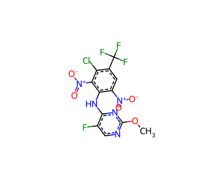 COc1ncc(F)c(Nc2c([N+](=O)[O-])cc(C(F)(F)F)c(Cl)c2[N+](=O)[O-])n1